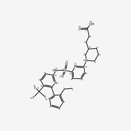 CCc1ccccc1-c1nc(NS(=O)(=O)c2cccc(N3CCCC(CCC(=O)O)C3)n2)ccc1C(F)(F)F